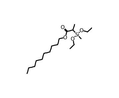 CCCCCCCCCCOC(=O)C(C)[Si](C)(OCC)OCC